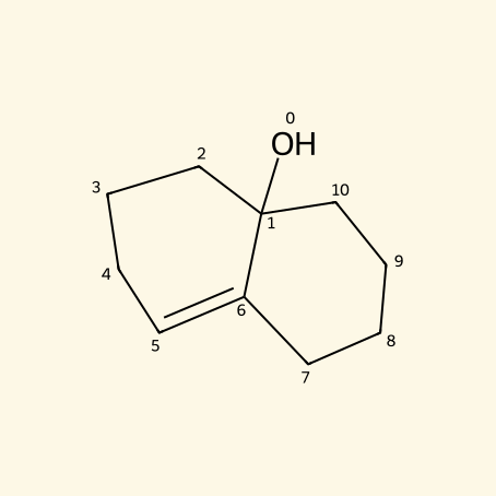 OC12CCCC=C1CCCC2